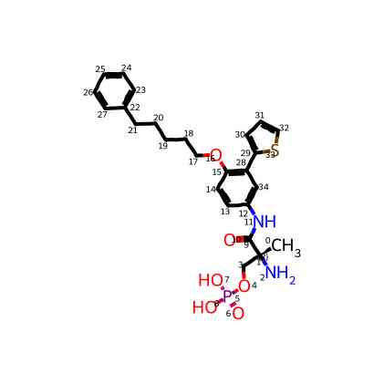 C[C@@](N)(COP(=O)(O)O)C(=O)Nc1ccc(OCCCCCc2ccccc2)c(-c2cccs2)c1